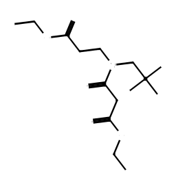 CCOC(=O)CCN(CC(C)(C)C)C(=O)CC(=O)OCC